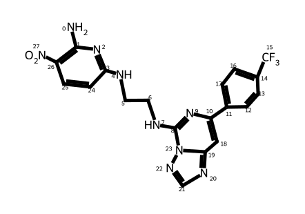 Nc1nc(NCCNc2nc(-c3ccc(C(F)(F)F)cc3)cc3ncnn23)ccc1[N+](=O)[O-]